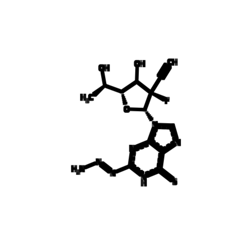 C#C[C@@]1(F)C(O)[C@@H]([C@@H](C)O)O[C@H]1n1cnc2c(=S)[nH]c(N=NN)nc21